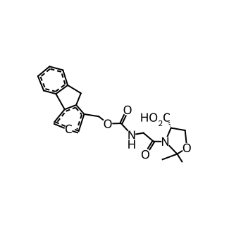 CC1(C)OC[C@@H](C(=O)O)N1C(=O)CNC(=O)OCc1cccc2c1Cc1ccccc1-2